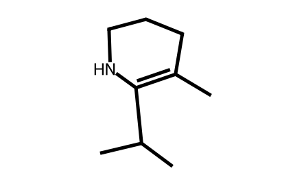 CC1=C(C(C)C)NCCC1